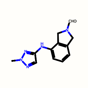 Cn1ncc(Nc2cccc3c2CN(C=O)C3)n1